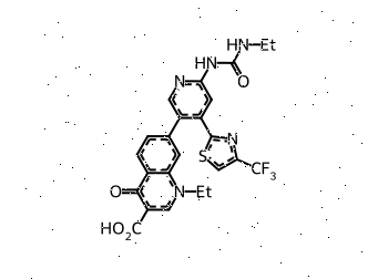 CCNC(=O)Nc1cc(-c2nc(C(F)(F)F)cs2)c(-c2ccc3c(=O)c(C(=O)O)cn(CC)c3c2)cn1